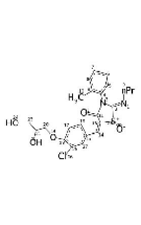 CCC/N=C1\N(c2ccccc2C)C(=O)/C(=C\c2ccc(OCC(O)CO)c(Cl)c2)[S+]1[O-]